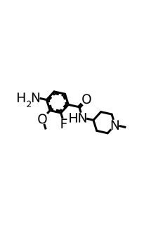 COc1c(N)ccc(C(=O)NC2CCN(C)CC2)c1F